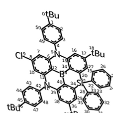 CC(C)(C)c1ccc(N2c3cc(Cl)cc4c3B3c5c2cc(C(C)(C)C)cc5[Si](c2ccccc2)(c2ccccc2)c2cc(C(C)(C)C)cc(c23)N4c2ccc(C(C)(C)C)cc2)cc1